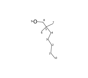 CCCCCC(C)(C)C[O]